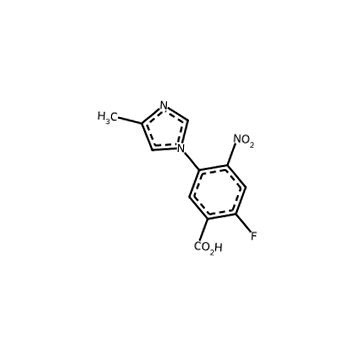 Cc1cn(-c2cc(C(=O)O)c(F)cc2[N+](=O)[O-])cn1